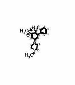 CCN1CCN(c2cc(-c3ccccc3C)c(Cl)c(S(C)(=O)=O)c2)CC1